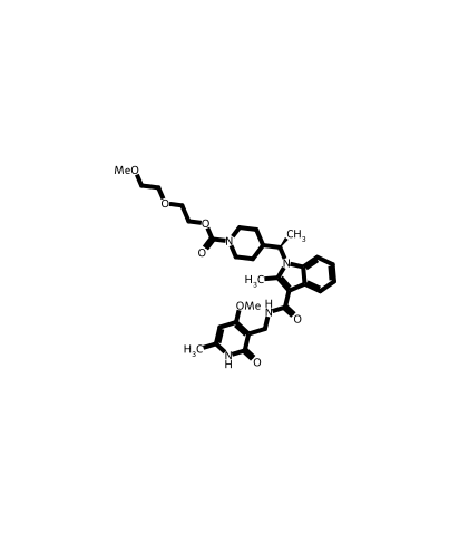 COCCOCCOC(=O)N1CCC([C@@H](C)n2c(C)c(C(=O)NCc3c(OC)cc(C)[nH]c3=O)c3ccccc32)CC1